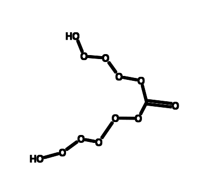 O=C(OOOOO)OOOOOO